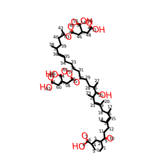 CCC(CC(C)C(=O)O)C(=O)CC/C(C)=C/C(C)C/C(C)=C/C(C)C(O)C(C)CCC(CCCC/C=C/C(C)CCC(C)OC(=O)CC(CC(=O)O)C(=O)O)OC(=O)CC(CC(=O)O)C(=O)O